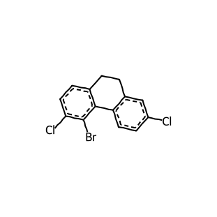 Clc1ccc2c(c1)CCc1ccc(Cl)c(Br)c1-2